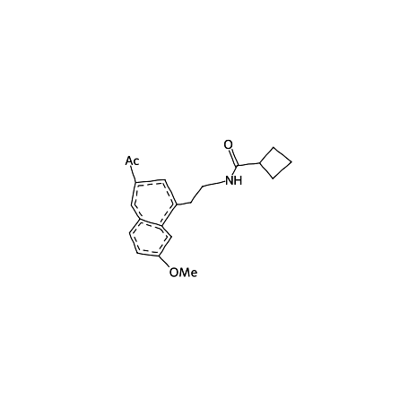 COc1ccc2cc(C(C)=O)cc(CCNC(=O)C3CCC3)c2c1